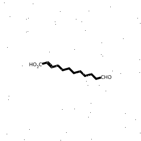 O=CCCCCCCCCC=CC(=O)O